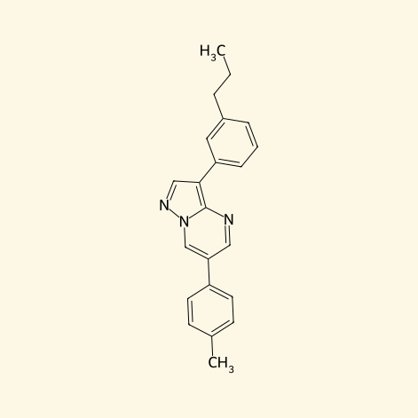 CCCc1cccc(-c2cnn3cc(-c4ccc(C)cc4)cnc23)c1